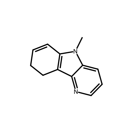 Cn1c2c(c3ncccc31)CCC=C2